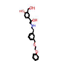 OCc1cc([C@@H](O)CNCCc2cccc(COCCOc3ccccc3)c2)ccc1O